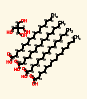 CCCCCCCCCCCCCCC(=O)O.CCCCCCCCCCCCCCC(=O)O.CCCCCCCCCCCCCCC(=O)O.CCCCCCCCCCCCCCC(=O)O.OCC(CO)(CO)CO